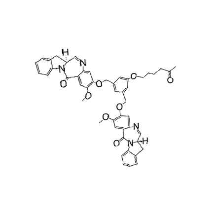 COc1cc2c(cc1OCc1cc(COc3cc4c(cc3OC)C(=O)N3c5ccccc5C[C@H]3C=N4)cc(OCCCCC(C)=O)c1)N=C[C@@H]1Cc3ccccc3N1C2=O